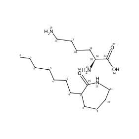 CCCCCCCC1CCCCNC1=O.NCCCC[C@H](N)C(=O)O